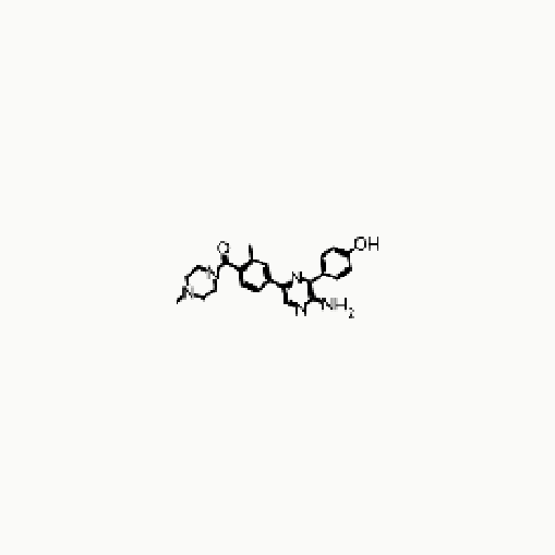 Cc1cc(-c2cnc(N)c(-c3ccc(O)cc3)n2)ccc1C(=O)N1CCN(C)CC1